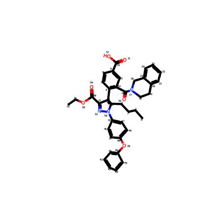 CCCCc1c(-c2ccc(C(=O)O)cc2C(=O)N2CCc3ccccc3C2)c(C(=O)OCC)nn1-c1ccc(Oc2ccccc2)cc1